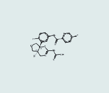 O=C(O)NC1=NC[C@H]2COC[C@]2(c2cc(NC(=O)c3ccc(F)cn3)ccc2F)S1